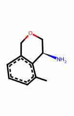 Cc1cccc2c1[C@H](N)COC2